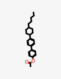 CCCCCC1CCC(c2ccc(-c3ccc(OC(C)=O)cc3)cc2)CC1